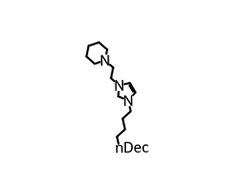 CCCCCCCCCCCCCCN1C=CN(CCN2CCCCC2)C1